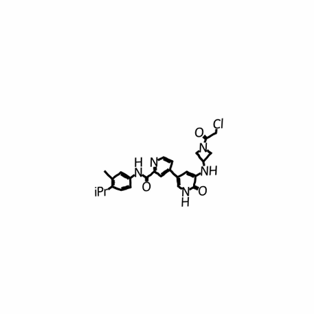 Cc1cc(NC(=O)c2cc(-c3c[nH]c(=O)c(NC4CN(C(=O)CCl)C4)c3)ccn2)ccc1C(C)C